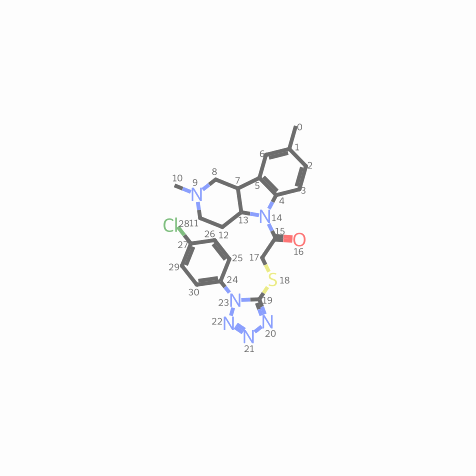 Cc1ccc2c(c1)C1CN(C)CCC1N2C(=O)CSc1nnnn1-c1ccc(Cl)cc1